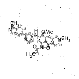 C=CC(=O)Nc1cc(Nc2cc(-c3ccc4c(cnn4C)c3)ncn2)c(OC)cc1C(=O)N1CCN(C)CC1